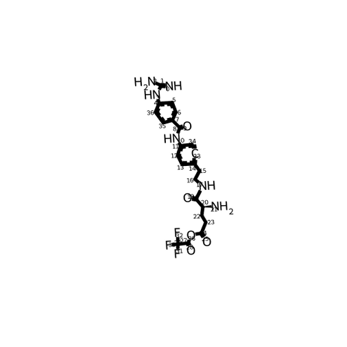 N=C(N)Nc1ccc(C(=O)Nc2ccc(CCNC(=O)[C@@H](N)CCC(=O)OC(=O)C(F)(F)F)cc2)cc1